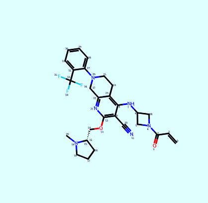 C=CC(=O)N1CC(Nc2c(C#N)c(OC[C@@H]3CCCN3C)nc3c2CCN(c2ccccc2C(F)(F)F)C3)C1